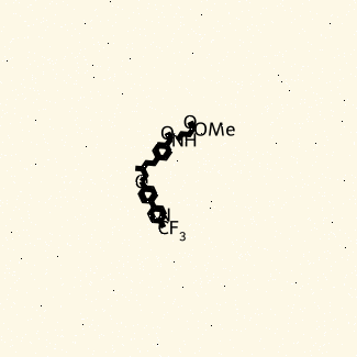 COC(=O)CCNC(=O)c1ccc(CCC(C)COc2ccc(-c3ccc(C(F)(F)F)nc3)cc2)cc1